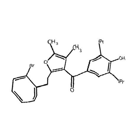 Cc1oc(Cc2ccccc2Br)c(C(=O)c2cc(C(C)C)c(O)c(C(C)C)c2)c1C